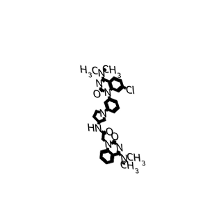 CN(C)c1nc(=O)n(CC(=O)NC2CCN(c3cccc(-n4c(=O)nc(N(C)C)c5ccc(Cl)cc54)c3)C2)c2ccccc12